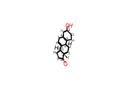 C[C@]12CC[C@H]3C(=CCC4=C3CCC(O)C4)[C@@H]1CCC2=O